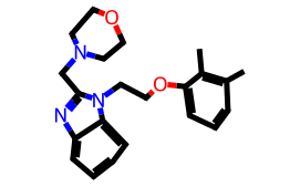 Cc1cccc(OCCn2c(CN3CCOCC3)nc3ccccc32)c1C